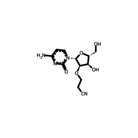 N#CCCO[C@@H]1[C@H](O)[C@@H](CO)O[C@H]1n1ccc(N)nc1=O